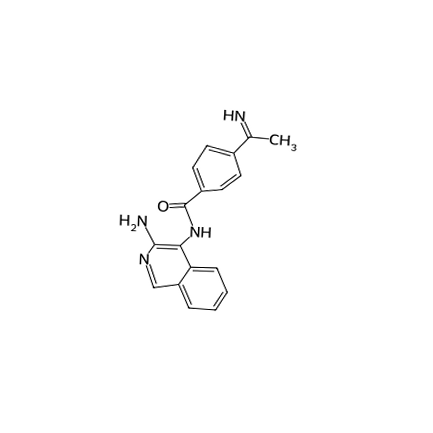 CC(=N)c1ccc(C(=O)Nc2c(N)ncc3ccccc23)cc1